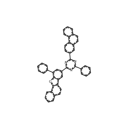 c1ccc(-c2nc(-c3ccc4c(ccc5ccccc54)c3)nc(-c3cc(-c4ccccc4)c4oc5c6ccccc6ccc5c4c3)n2)cc1